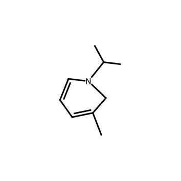 CC1=CC=CN(C(C)C)C1